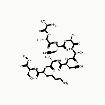 C#CC[C@H](NC(=O)[C@H](C)NC(=O)[C@H](C)N)C(=O)N[C@@H](C)C(=O)N[C@@H](C)C(=O)N[C@@H](CC#C)C(=O)N[C@@H](C)C(=O)N[C@@H](CCCCN)C(=O)N[C@@H](CO)C(=O)NC(C)C